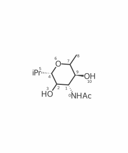 CC(=O)N[C@@H]1C(O)[C@H](C(C)C)OC(C)[C@H]1O